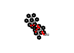 CC(C)(C)c1cc2c3c(c1)N(c1c(-c4ccccc4)cccc1-c1ccccc1)c1cc4c(cc1B3c1ccccc1N2c1ccccc1)C1(c2cc3c(cc2S4)N(c2ccccc2)c2cc(N(c4ccccc4)c4ccccc4)cc4c2B3c2ccccc2N4c2ccccc2)c2ccccc2-c2ccccc21